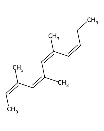 C\C=C(C)/C=C(C)\C=C(C)/C=C\CC